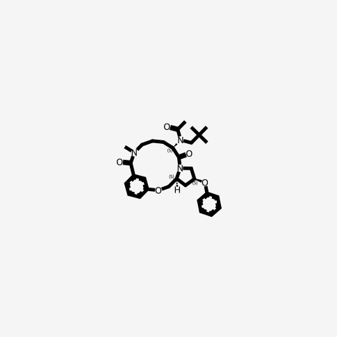 CC(=O)N(CC(C)(C)C)[C@H]1CCCN(C)C(=O)c2cccc(c2)OC[C@@H]2C[C@H](Oc3ccccc3)CN2C1=O